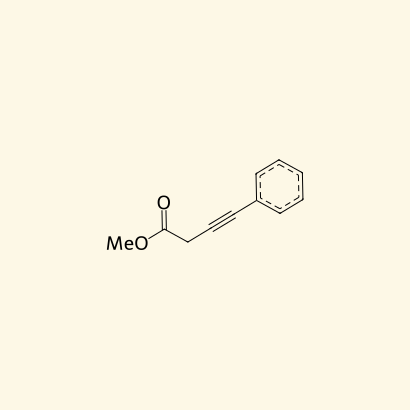 COC(=O)CC#Cc1ccccc1